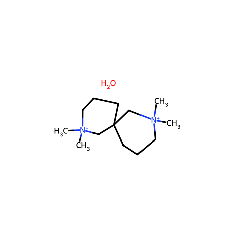 C[N+]1(C)CCCC2(CCC[N+](C)(C)C2)C1.O